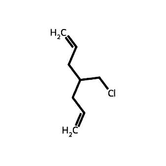 C=CCC(CCl)CC=C